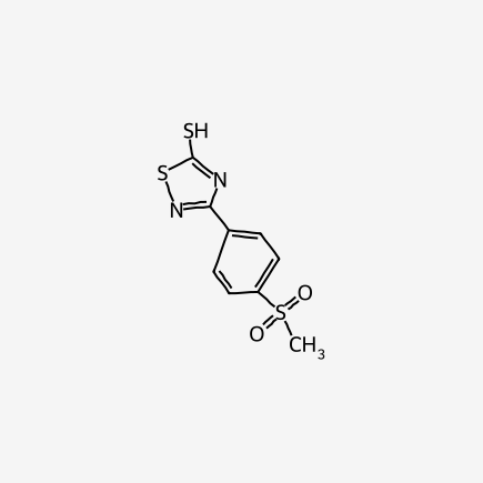 CS(=O)(=O)c1ccc(-c2nsc(S)n2)cc1